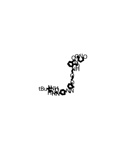 [CH2]N1C(=O)CCC(N2C(=O)c3cccc(NCCOCCOc4ccc5c(c4)ncn5-c4ccc(NC(=O)Nc5cc(C(C)(C)C)n[nH]5)cc4)c3C2=O)C1=O